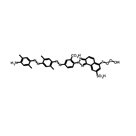 Cc1cc(N=Nc2cc(C)c(N=Nc3ccc(-n4nc5ccc6c(SOOO)cc(S(=O)(=O)O)cc6c5n4)c(C(=O)O)c3)cc2C)c(C)cc1N